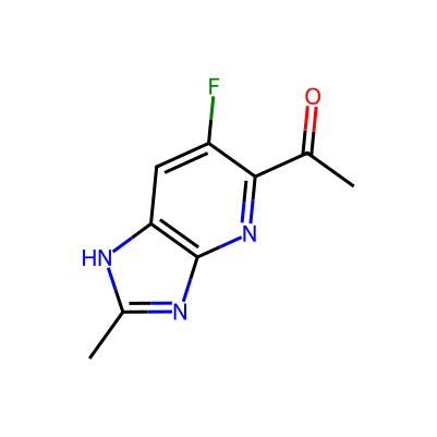 CC(=O)c1nc2nc(C)[nH]c2cc1F